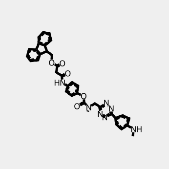 CNc1ccc(-c2nnc(CN(C)C(=O)Oc3ccc(NC(=O)CC(=O)OCC4c5ccccc5-c5ccccc54)cc3)nn2)cc1